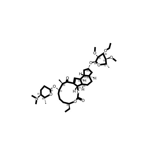 CCO[C@@H]1[C@@H](OC)[C@H](C)O[C@@H](O[C@@H]2C[C@H]3CC[C@@H]4[C@@H](C=C5C(=O)[C@H](C)[C@@H](O[C@H]6CC[C@H](N(C)C)[C@@H](C)O6)CCC[C@H](CC)OC(=O)C[C@H]54)[C@@H]3C2)[C@@H]1OC